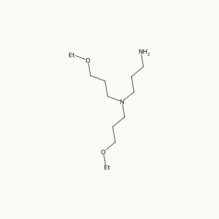 CCOCCCN(CCCN)CCCOCC